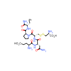 CC(C)C[C@H](NC(=O)[C@@H]1CCCN1C(=O)[C@H](CSSC[C@H](N)C(=O)O)NC(=O)[C@H](CC(N)=O)NC(=O)[C@@H](N)CCC(=O)O)C(N)=O